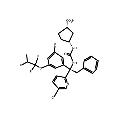 O=C(N[C@@H]1CC[C@H](C(=O)O)C1)N[C@@](Cc1ccccc1)(c1cc(F)cc(OC(F)(F)C(F)F)c1)c1ccc(Cl)cn1